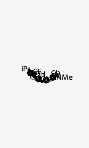 CNC(=O)c1ccc(N2CCC(CC3CCN(C(=O)C(O)(c4cccc(C(C)C)c4)C(F)(F)F)CC3)CC2)cc1Cl